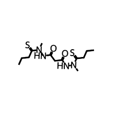 CCCC(=S)N(C)NC(=O)CC(=O)NN(C)C(=S)CCC